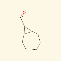 O=CC1C2CCCCCC12